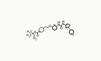 CC(C)(C)OC(=O)N1CCC(CCOc2cccc(NC(=O)Nc3csc(-c4ccncc4)n3)n2)CC1